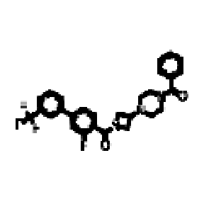 O=C(c1ccccc1)N1CCN(C2CN(C(=O)c3ccc(-c4cccc(C(F)(F)F)c4)cc3F)C2)CC1